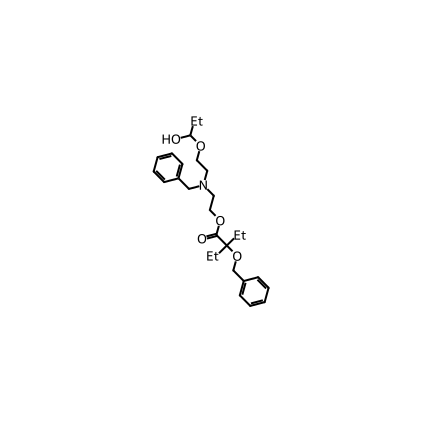 CCC(O)OCCN(CCOC(=O)C(CC)(CC)OCc1ccccc1)Cc1ccccc1